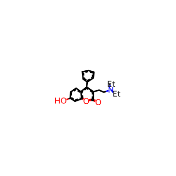 CCN(CC)CCc1c(-c2ccccc2)c2ccc(O)cc2oc1=O